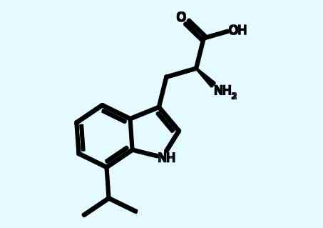 CC(C)c1cccc2c(C[C@H](N)C(=O)O)c[nH]c12